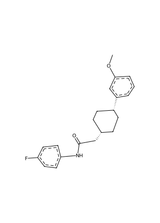 COc1cccc([C@H]2CC[C@@H](CC(=O)Nc3ccc(F)cc3)CC2)c1